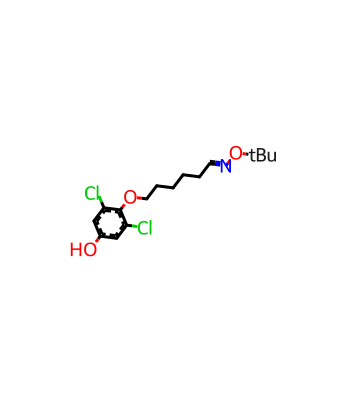 CC(C)(C)ON=CCCCCCOc1c(Cl)cc(O)cc1Cl